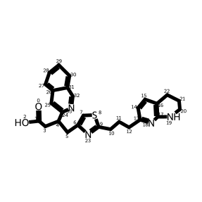 O=C(O)CC(Cc1csc(CCCc2ccc3c(n2)NCCC3)n1)c1cc2ccccc2cn1